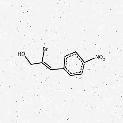 O=[N+]([O-])c1ccc(/C=C(\Br)CO)cc1